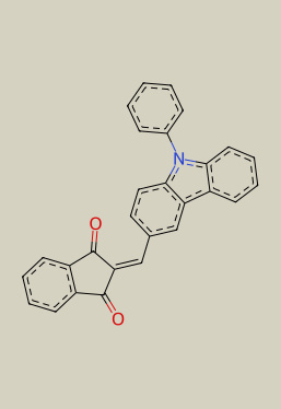 O=C1C(=Cc2ccc3c(c2)c2ccccc2n3-c2ccccc2)C(=O)c2ccccc21